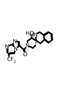 O=C(c1cnc2ncc(C(F)(F)F)cn12)N1CC[C@]2(Cc3ccccc3CN2)[C@H](O)C1